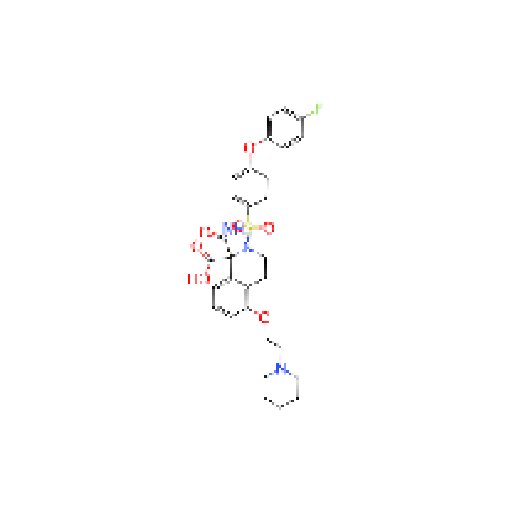 NC(=O)C1(C(=O)O)c2cccc(OCCN3CCCCC3)c2CCN1S(=O)(=O)c1ccc(Oc2ccc(F)cc2)cc1